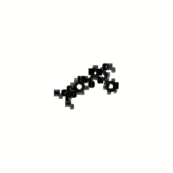 Cc1cc(-c2cccnc2)nc2c(C(=O)NC3CCC(OC(C)(C)C)CC3)ncn12